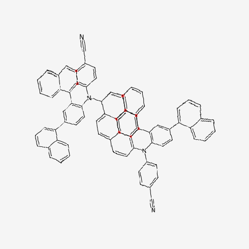 N#Cc1ccc(N(C2=C3C=CC4=C5C(=CC=C(C=C2)C35)C(N(c2ccc(C#N)cc2)c2ccc(-c3cccc5ccccc35)cc2-c2cccc3ccccc23)C=C4)c2ccc(-c3cccc4ccccc34)cc2-c2cccc3ccccc23)cc1